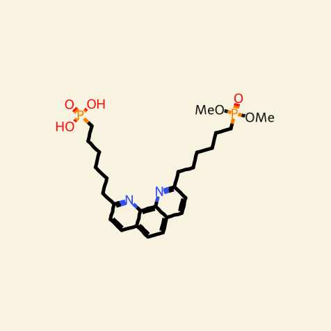 COP(=O)(CCCCCCc1ccc2ccc3ccc(CCCCCCP(=O)(O)O)nc3c2n1)OC